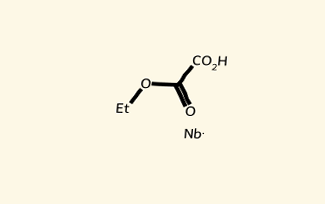 CCOC(=O)C(=O)O.[Nb]